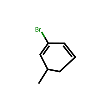 CC1C=C(Br)C=CC1